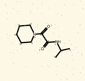 CC(C)NC(=O)C(=O)N1CCCCC1